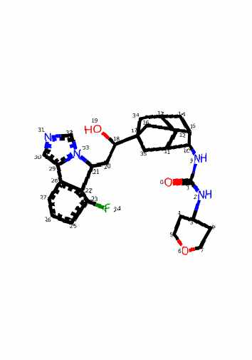 O=C(NC1CCOCC1)NC1C2CC3CC1CC(C(O)CC1c4c(F)cccc4-c4cncn41)(C3)C2